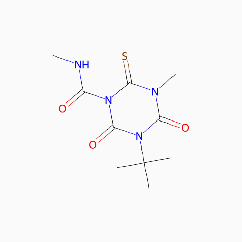 CNC(=O)n1c(=S)n(C)c(=O)n(C(C)(C)C)c1=O